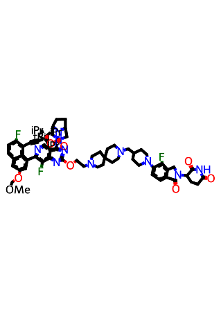 COCOc1cc(-c2ncc3c(N4CC5CCC(C4)N5C(=O)OC(C)(C)C)nc(OCCN4CCC5(CC4)CCN(CC4CCN(c6ccc7c(c6F)CN(C6CCC(=O)NC6=O)C7=O)CC4)CC5)nc3c2F)c2c(C#C[Si](C(C)C)(C(C)C)C(C)C)c(F)ccc2c1